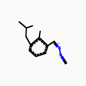 C=N/N=C\c1cccc(CC(C)C)c1C